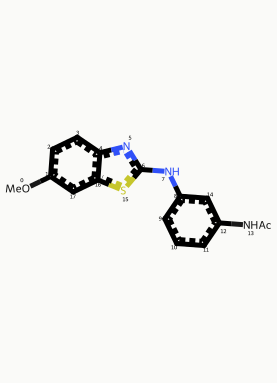 COc1ccc2nc(Nc3cccc(NC(C)=O)c3)sc2c1